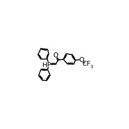 O=C(C=[PH](c1ccccc1)c1ccccc1)c1ccc(OC(F)(F)F)cc1